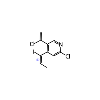 C=C(Cl)c1cnc(Cl)cc1/C(I)=C\C